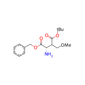 COCC(C(=O)OC(C)(C)C)[C@H](N)C(=O)OCc1ccccc1